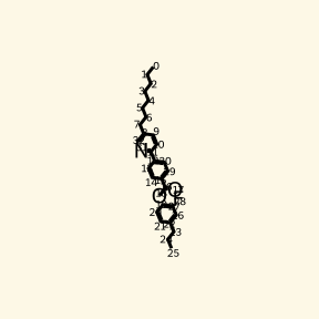 CCCCCCCCc1ccc(-c2ccc(C(=O)Oc3ccc(CCC)cc3F)cc2)nc1